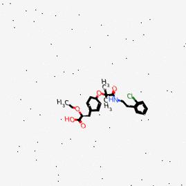 CCO[C@@H](CC1=CCC(OC(C)(C)C(=O)NCCc2ccccc2Cl)C=C1)C(=O)O